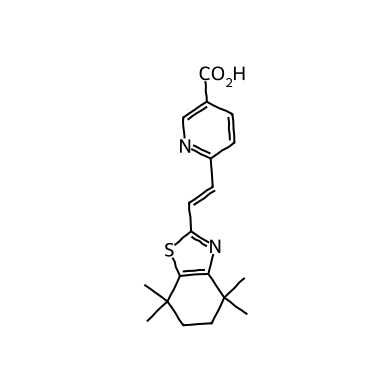 CC1(C)CCC(C)(C)c2sc(C=Cc3ccc(C(=O)O)cn3)nc21